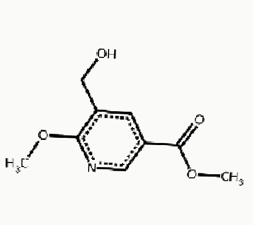 COC(=O)c1cnc(OC)c(CO)c1